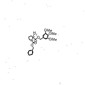 COc1cc(COC(=O)C2(C)CCCN2C(=O)OCc2ccccc2)cc(OC)c1OC